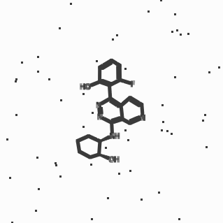 Oc1cccc(F)c1-c1nnc(N[C@@H]2CCCC[C@@H]2O)c2cnccc12